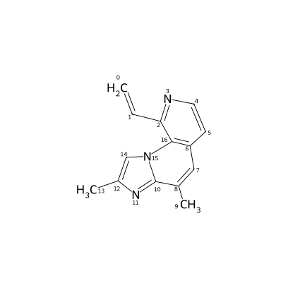 C=Cc1nccc2cc(C)c3nc(C)cn3c12